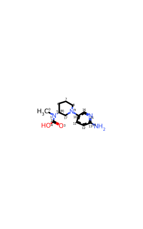 CN(C(=O)O)[C@@H]1CCCN(c2ccc(N)nc2)C1